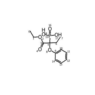 CCOC(=O)C(CC)(Oc1ccccc1)P(=O)(O)O